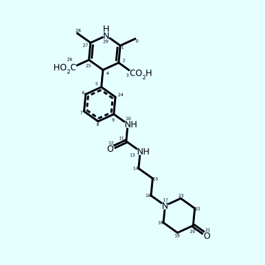 CC1=C(C(=O)O)C(c2cccc(NC(=O)NCCCN3CCC(=O)CC3)c2)C(C(=O)O)=C(C)N1